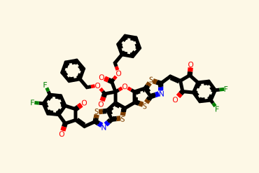 O=C1C(=Cc2nc3sc4c(c3s2)OC(C(=O)OCc2ccccc2)(C(=O)OCc2ccccc2)c2c-4sc3nc(C=C4C(=O)c5cc(F)c(F)cc5C4=O)sc23)C(=O)c2cc(F)c(F)cc21